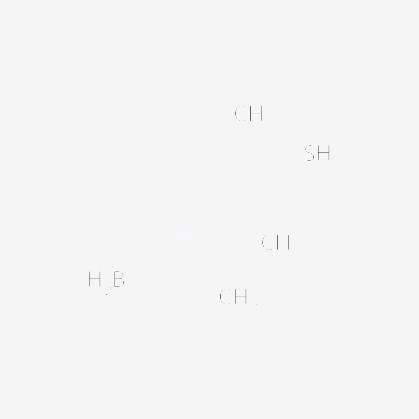 B/C(C)=C/C(C)(C)S